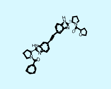 O=C(c1ccccc1)N1CCC[C@H]1c1nc2ccc(C#Cc3ccc4[nH]c([C@@H]5CCCN5C(=O)C5CCCO5)nc4c3)cc2[nH]1